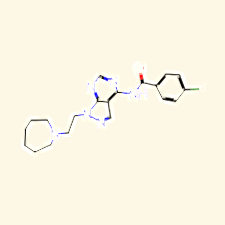 O=C(Nc1ncnc2c1cnn2CCN1CCCCCC1)c1ccc(F)cc1